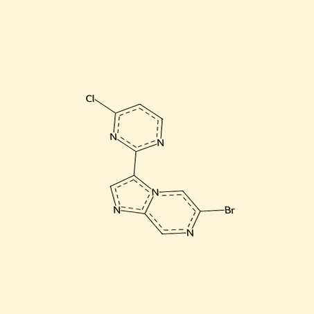 Clc1ccnc(-c2cnc3cnc(Br)cn23)n1